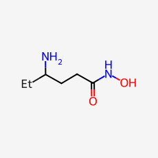 CCC(N)CCC(=O)NO